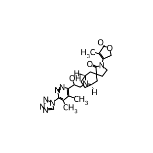 CC1=C(N2CCC3(C[C@H]4CC[C@H](C3)N4CC(O)c3nnc(-n4cnnn4)c(C)c3C)C2=O)COC1=O